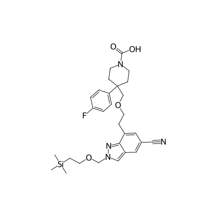 C[Si](C)(C)CCOCn1cc2cc(C#N)cc(CCOCC3(c4ccc(F)cc4)CCN(C(=O)O)CC3)c2n1